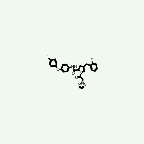 O=C(Nc1ccc(Oc2ccc(F)cc2)cc1)C1CC(Cc2ccccc2F)CN1C(=O)Cn1nccn1